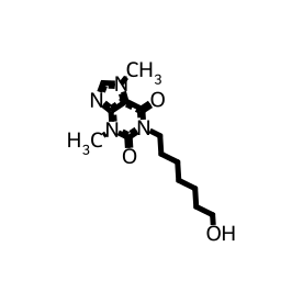 Cn1cnc2c1c(=O)n(CCCCCCCO)c(=O)n2C